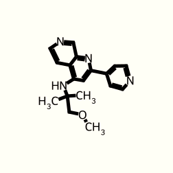 COCC(C)(C)Nc1cc(-c2ccncc2)nc2cnccc12